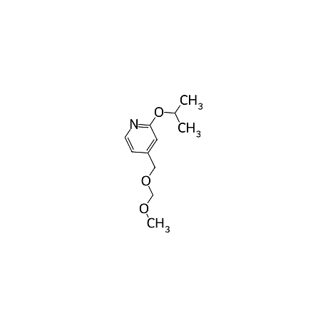 COCOCc1ccnc(OC(C)C)c1